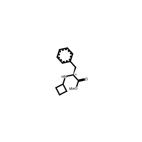 COC(=O)[C@H](Cc1ccccc1)NC1CCC1